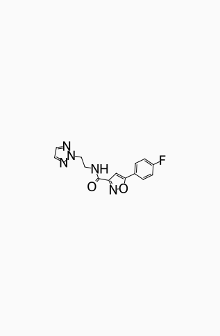 O=C(NCCn1nccn1)c1cc(-c2ccc(F)cc2)on1